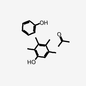 CC(C)=O.Cc1cc(O)c(C)c(C)c1C.Oc1ccccc1